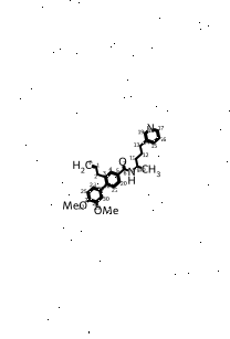 C=CCc1cc(C(=O)NC(C)CCCc2cccnc2)ccc1-c1ccc(OC)c(OC)c1